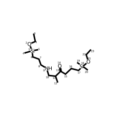 CCO[Si](C)(C)CCCNCC(C)C(=O)CCC[Si](C)(C)OCC